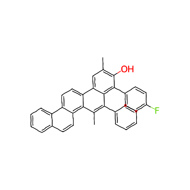 Cc1cc2c(c(-c3ccc(F)cc3)c1O)c(-c1ccccc1)c(C)c1c2ccc2c3ccccc3ccc21